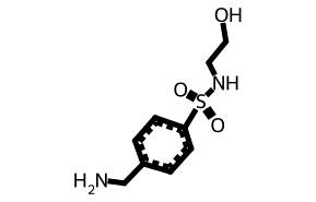 NCc1ccc(S(=O)(=O)NCCO)cc1